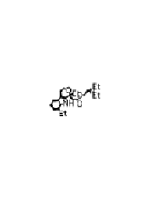 CCc1cccc2c3c([nH]c12)C(CC)(CC(=O)OCCN(CC)CC)OCC3